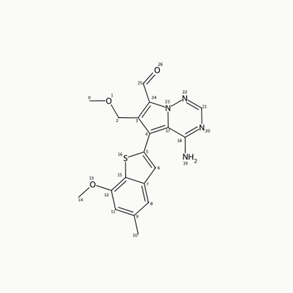 COCc1c(-c2cc3cc(C)cc(OC)c3s2)c2c(N)ncnn2c1C=O